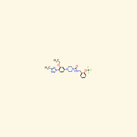 CCOc1cc(N2CCN(C(=O)NCc3ccccc3OC(F)(F)F)CC2)ccc1-n1cnc(C)n1